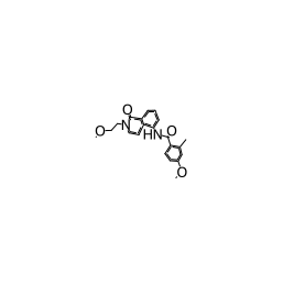 COCCn1ccc2c(NC(=O)c3ccc(OC)cc3C)cccc2c1=O